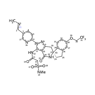 C/N=C/c1ccc(-n2nc3c(c2NC(=O)CS(=O)(=O)NC)C(=O)N[C@@]2(CCc4cc(OCC(F)(F)F)ccc42)C3)nc1